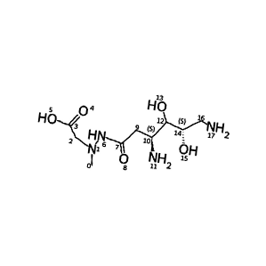 CN(CC(=O)O)NC(=O)C[C@H](N)C(O)[C@@H](O)CN